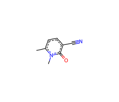 Cc1ccc(C#N)c(=O)n1C